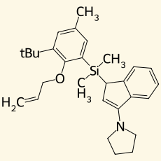 C=CCOc1c(C(C)(C)C)cc(C)cc1[Si](C)(C)C1C=C(N2CCCC2)c2ccccc21